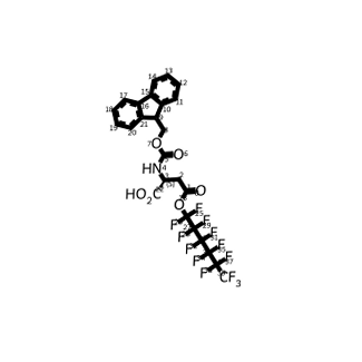 O=C(C[C@H](NC(=O)OCC1c2ccccc2-c2ccccc21)C(=O)O)OC(F)(F)C(F)(F)C(F)(F)C(F)(F)C(F)(F)C(F)(F)F